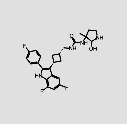 CC1(NC(=O)NC[C@H]2C[C@H](c3c(-c4ccc(F)cc4)[nH]c4c(F)cc(F)cc43)C2)CCNC1O